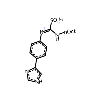 CCCCCCCCN/C(=N\c1ccc(-c2c[nH]cn2)cc1)S(=O)(=O)O